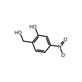 O=[N+]([O-])c1ccc(CO)c(O)c1